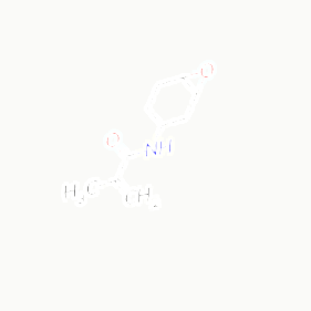 C=C(C)C(=O)NC1CCC2OC2C1